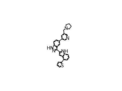 c1csc(-c2cccc3[nH]c(-c4n[nH]c5ccc(-c6cncc(CN7CCCC7)c6)cc45)cc23)c1